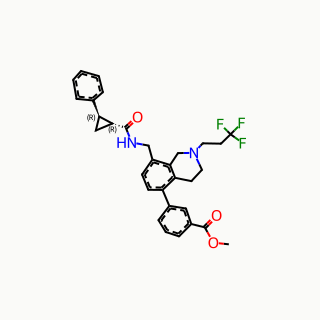 COC(=O)c1cccc(-c2ccc(CNC(=O)[C@@H]3C[C@H]3c3ccccc3)c3c2CCN(CCC(F)(F)F)C3)c1